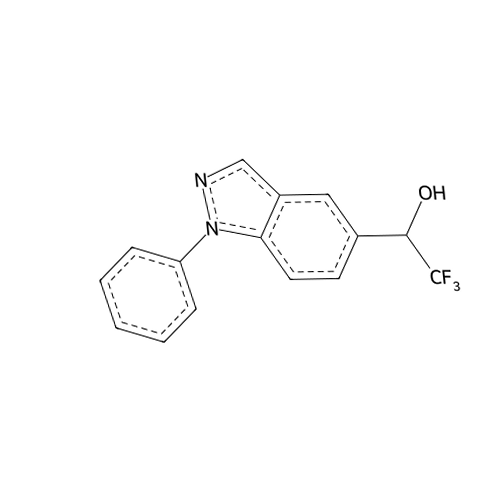 OC(c1ccc2c(cnn2-c2ccccc2)c1)C(F)(F)F